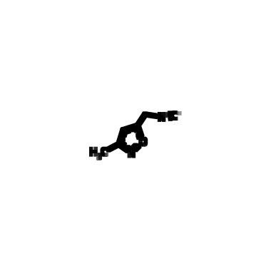 [C-]#[N+]Cc1cc(C)no1